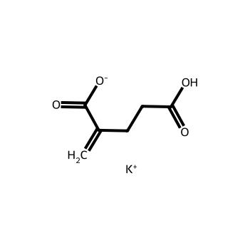 C=C(CCC(=O)O)C(=O)[O-].[K+]